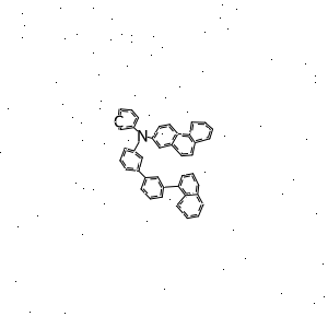 c1ccc(N(c2cccc(-c3cccc(-c4cccc5ccccc45)c3)c2)c2ccc3c(ccc4ccccc43)c2)cc1